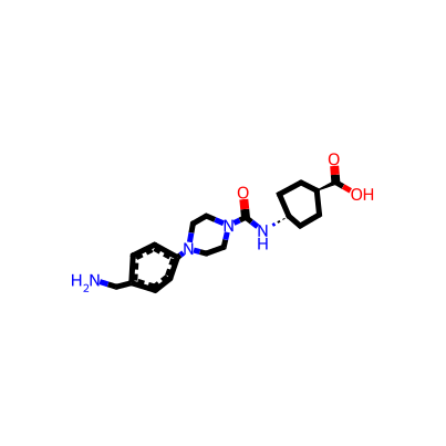 NCc1ccc(N2CCN(C(=O)N[C@H]3CC[C@H](C(=O)O)CC3)CC2)cc1